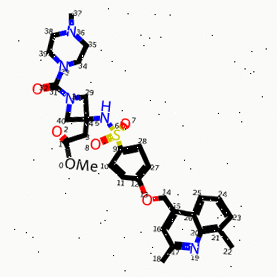 COC(=O)CC1(NS(=O)(=O)c2ccc(OCc3cc(C)nc4c(C)cccc34)cc2)CN(C(=O)N2CCN(C)CC2)C1